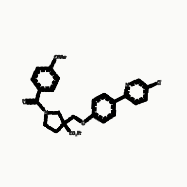 CCOC(=O)C1(COc2ccc(-c3ccc(Cl)cn3)cc2)CCN(C(=O)c2ccc(OC)cc2)C1